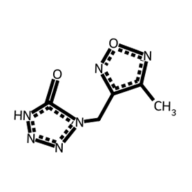 Cc1nonc1Cn1nn[nH]c1=O